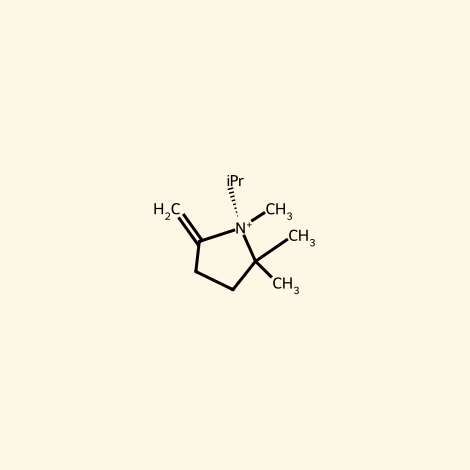 C=C1CCC(C)(C)[N@@+]1(C)C(C)C